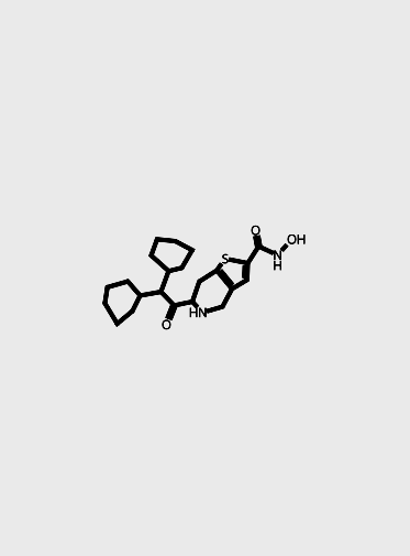 O=C(NO)c1cc2c(s1)CC(C(=O)C(C1CCCCC1)C1CCCCC1)NC2